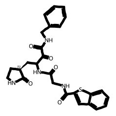 O=C(CNC(=O)c1cc2ccccc2s1)NC(C[C@@H]1CCNC1=O)C(=O)C(=O)NCc1ccccc1